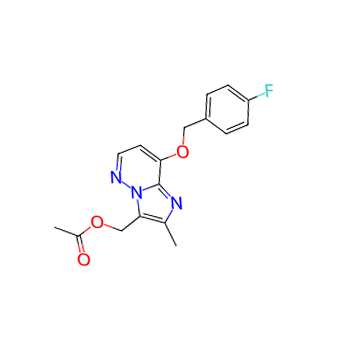 CC(=O)OCc1c(C)nc2c(OCc3ccc(F)cc3)ccnn12